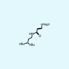 CCCCCCC/C=C/C(=O)NCCN(CCCC)CCCC